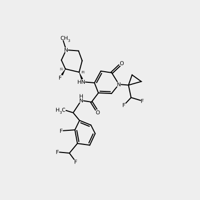 CC(NC(=O)c1cn(C2(C(F)F)CC2)c(=O)cc1N[C@@H]1CCN(C)C[C@@H]1F)c1cccc(C(F)F)c1F